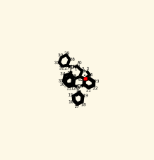 C[C@H]([C@@H]1CCCC1c1ccccc1P(c1ccccc1)c1ccccc1)P(C1CCCCC1)C1CCCCC1